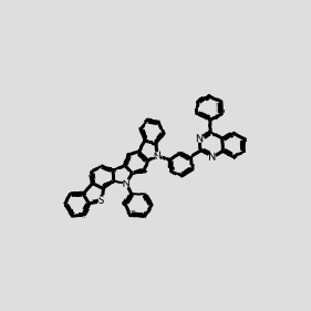 c1ccc(-c2nc(-c3cccc(-n4c5ccccc5c5cc6c7ccc8c9ccccc9sc8c7n(-c7ccccc7)c6cc54)c3)nc3ccccc23)cc1